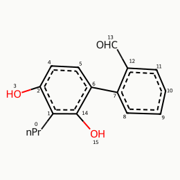 CCCc1c(O)ccc(-c2ccccc2C=O)c1O